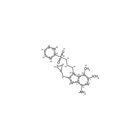 Cc1nc(N)c2nc(CC3CC3)n(CCCS(=O)(=O)c3ncccn3)c2c1C